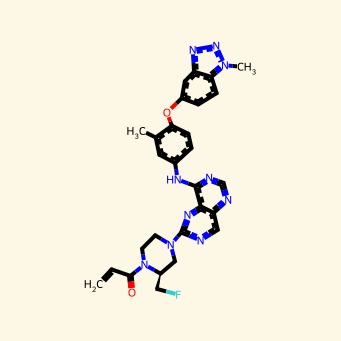 C=CC(=O)N1CCN(c2ncc3ncnc(Nc4ccc(Oc5ccc6c(c5)nnn6C)c(C)c4)c3n2)C[C@H]1CF